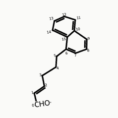 O=[C]C=CCCCc1cccc2ccccc12